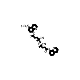 CC(C#N)(CCC(=O)Oc1cccc2cccnc12)N=NC(C)(C#N)CCC(=O)Oc1ccc(S(=O)(=O)O)c2cccnc12